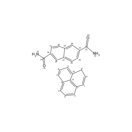 C1=Cc2cccc3cccc(c23)C1.NC(=O)c1ccc2cc(C(N)=O)ccc2c1